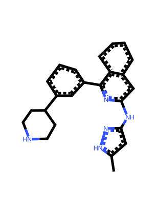 Cc1cc(Nc2cc3ccccc3c(-c3cccc(C4CCNCC4)c3)n2)n[nH]1